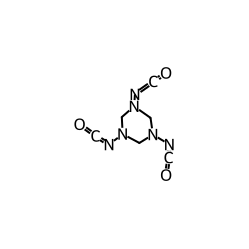 O=C=NN1CN(N=C=O)CN(N=C=O)C1